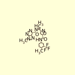 Cc1ccc(NC(=O)c2cc([C@@H](C)NC(=O)c3ncnc4c3ncn4C)no2)cc1C(F)(F)F